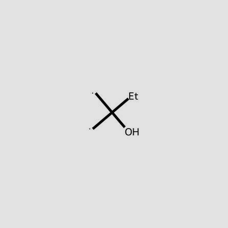 [CH2]C([CH2])(O)CC